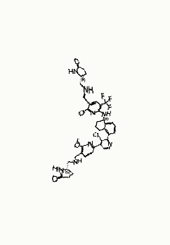 COc1nc(-c2ccnc(-c3cccc4c3CCC[C@H]4Nc3nc(OC)c(CNC[C@H]4CCC(=O)N4)cc3C(F)(F)F)c2Cl)ccc1CNC[C@@H]1CCC(=O)N1